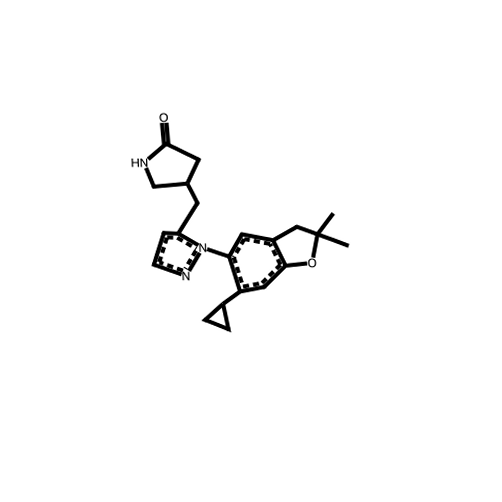 CC1(C)Cc2cc(-n3nccc3CC3CNC(=O)C3)c(C3CC3)cc2O1